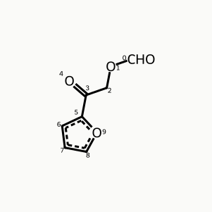 O=COCC(=O)c1ccco1